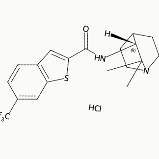 CC1(C)[C@H](NC(=O)c2cc3ccc(C(F)(F)F)cc3s2)C2CCN1CC2.Cl